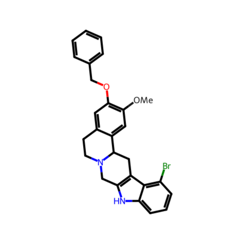 COc1cc2c(cc1OCc1ccccc1)CCN1Cc3[nH]c4cccc(Br)c4c3CC21